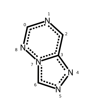 c1ncc2nncn2n1